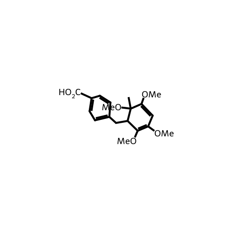 COC1=CC(OC)=C(OC)C(Cc2ccc(C(=O)O)cc2)C1(C)OC